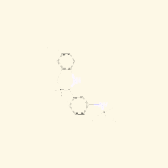 CC(C)(Nc1cccc(C2Nc3ccc(C(=O)O)cc3CC2(C)C)c1)C(=O)O